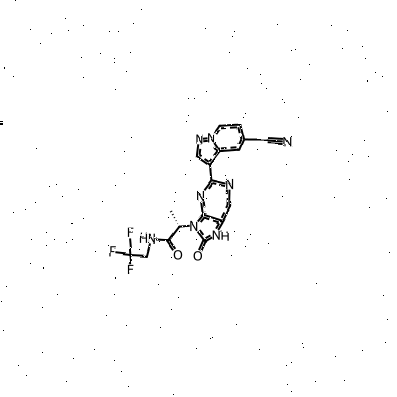 C[C@@H](C(=O)NCC(F)(F)F)n1c(=O)[nH]c2cnc(-c3cnn4ccc(C#N)cc34)nc21